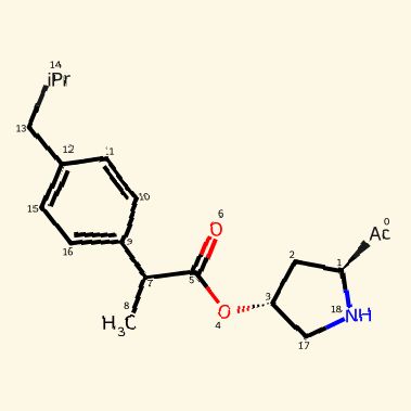 CC(=O)[C@@H]1C[C@@H](OC(=O)C(C)c2ccc(CC(C)C)cc2)CN1